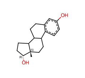 C[C@]12CCC3c4ccc(O)cc4CCC3C1CC[C@H]2O